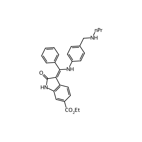 CCCNCc1ccc(NC(=C2C(=O)Nc3cc(C(=O)OCC)ccc32)c2ccccc2)cc1